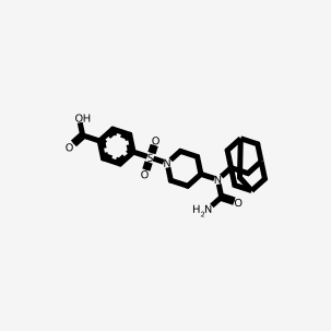 NC(=O)N(C1CCN(S(=O)(=O)c2ccc(C(=O)O)cc2)CC1)C12CC3CC(CC(C3)C1)C2